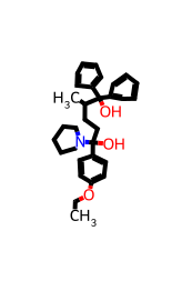 CCOc1ccc(C(O)(CCC(C)C(O)(c2ccccc2)c2ccccc2)N2CCCCC2)cc1